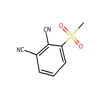 CS(=O)(=O)c1cccc(C#N)c1C#N